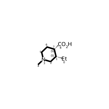 CC[C@@H]1CN(C)CC[C@@H]1C(=O)O